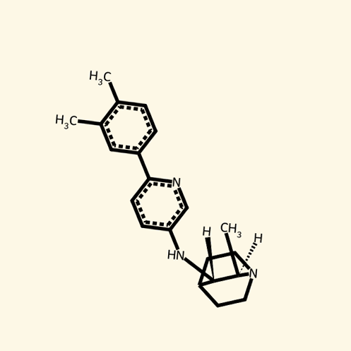 Cc1ccc(-c2ccc(N[C@H]3C4CCN(CC4)[C@@H]3C)cn2)cc1C